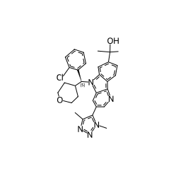 Cc1nnn(C)c1-c1cnc2c3ccc(C(C)(C)O)cc3n([C@H](c3ccccc3Cl)C3CCOCC3)c2c1